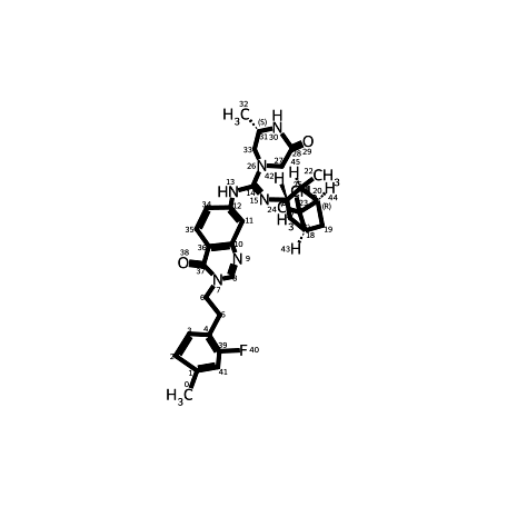 Cc1ccc(CCn2cnc3cc(NC(=N[C@H]4C[C@@H]5C[C@H]([C@@H]4C)C5(C)C)N4CC(=O)N[C@@H](C)C4)ccc3c2=O)c(F)c1